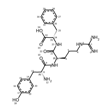 N=C(N)NCCC[C@@H](NC(=O)[C@H](N)Cc1ccc(O)cc1)C(=O)N[C@@H](Cc1ccccc1)C(=O)O